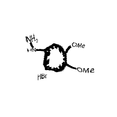 Br.COc1ccc(NN)cc1OC